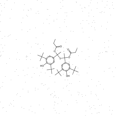 CCC(=O)OC(C)(SC(C)(OC(=O)CC)c1cc(C(C)(C)C)c(O)c(C(C)(C)C)c1)c1cc(C(C)(C)C)c(O)c(C(C)(C)C)c1